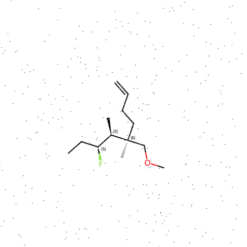 C=CCC[C@@](C)(COC)[C@H](C)[C@@H](F)CC